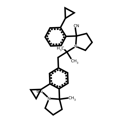 CC(C)(C)N1CCCC1(C)c1ccc(CC(C)(C)N2CCCC2(C#N)c2ccccc2C2CC2)cc1C1CC1